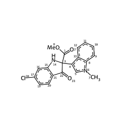 COC(=O)C1(c2cn(C)c3ccccc23)Nc2cc(Cl)ccc2C1=O